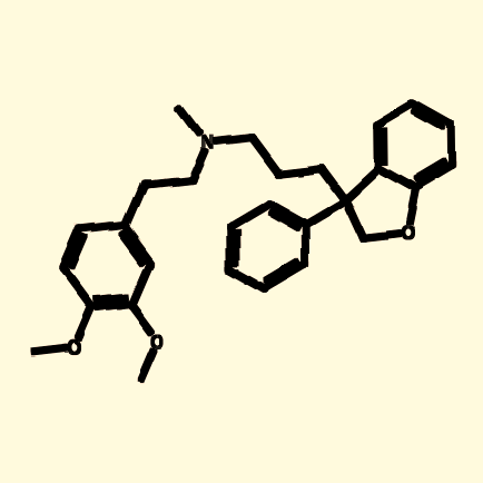 COc1ccc(CCN(C)CCCC2(c3ccccc3)COc3ccccc32)cc1OC